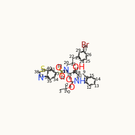 CC(C)(C)OC(=O)N[C@@H](Cc1ccccc1)[C@H](O)CN(CCCc1cccc(Br)c1)S(=O)(=O)c1ccc2ncsc2c1